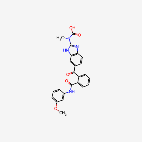 COc1cccc(NC(=O)c2ccccc2C(=O)c2ccc3nc(N(C)C(=O)O)[nH]c3c2)c1